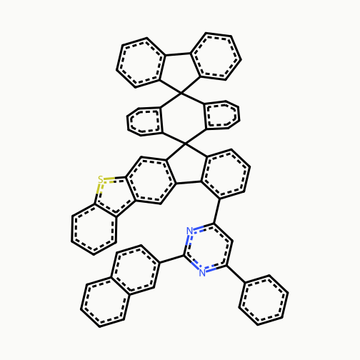 c1ccc(-c2cc(-c3cccc4c3-c3cc5c(cc3C43c4ccccc4C4(c6ccccc6-c6ccccc64)c4ccccc43)sc3ccccc35)nc(-c3ccc4ccccc4c3)n2)cc1